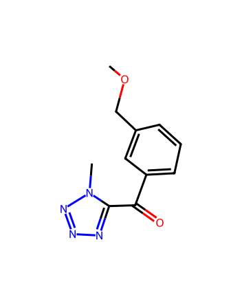 COCc1cccc(C(=O)c2nnnn2C)c1